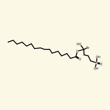 CCCCCCCCCCCCCCCC(=O)OC(O)(Br)CCCP(=O)(O)O